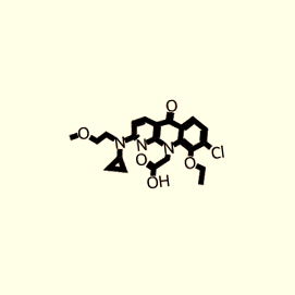 CCOc1c(Cl)ccc2c(=O)c3ccc(N(CCOC)C4CC4)nc3n(CC(=O)O)c12